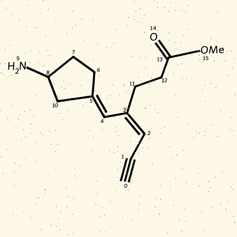 C#C/C=C(\C=C1/CCC(N)C1)CCC(=O)OC